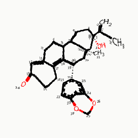 C=C(C)[C@]1(O)CCC2C3CCC4=CC(=O)CCC4=C3[C@@H](c3ccc4c(c3)OCO4)C[C@@]21C